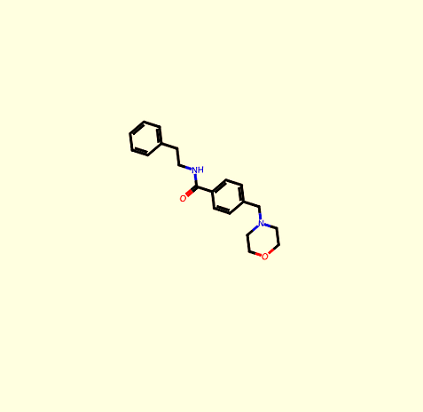 O=C(NCCc1ccccc1)c1ccc(CN2CCOCC2)cc1